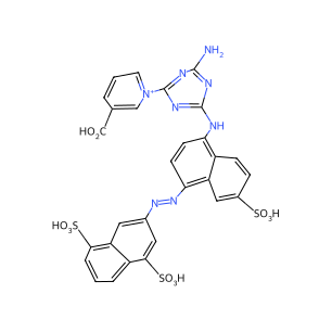 Nc1nc(Nc2ccc(N=Nc3cc(S(=O)(=O)O)c4cccc(S(=O)(=O)O)c4c3)c3cc(S(=O)(=O)O)ccc23)nc(-[n+]2cccc(C(=O)O)c2)n1